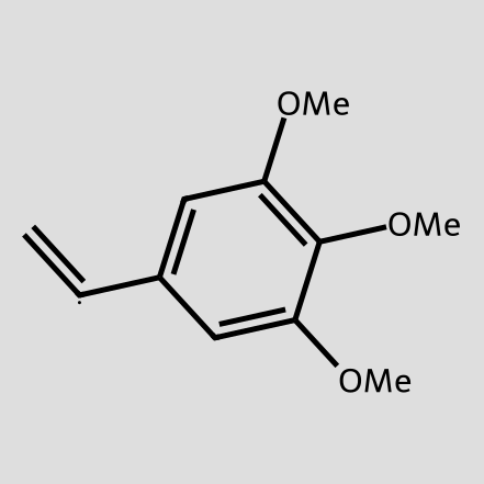 C=[C]c1cc(OC)c(OC)c(OC)c1